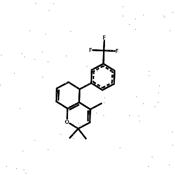 CC1=CC(C)(C)OC2=C1C(c1cccc(C(F)(F)F)c1)CC=C2